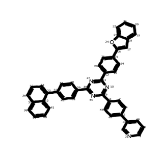 c1cncc(-c2ccc(-c3nc(-c4ccc(-c5cc6ccccc6o5)cc4)nc(-c4ccc(-c5cccc6ccccc56)cc4)n3)cc2)c1